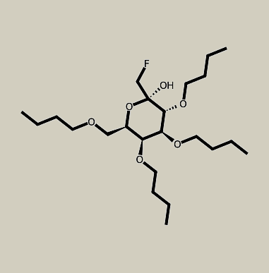 CCCCOC[C@H]1O[C@@](O)(CF)[C@H](OCCCC)[C@@H](OCCCC)[C@H]1OCCCC